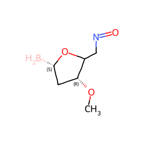 B[C@H]1C[C@@H](OC)C(CN=O)O1